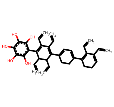 C=CC1=CCCC(C2=CC=C(C3=C(C=C)C(C=C)=C(c4c(O)c(O)c(O)c(O)c4O)C(C=C)C3C=C)CC2)=C1C=C